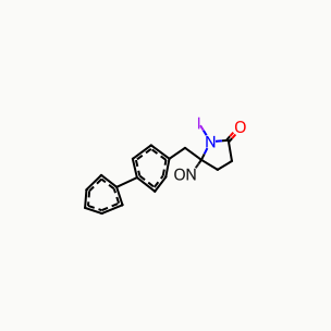 O=NC1(Cc2ccc(-c3ccccc3)cc2)CCC(=O)N1I